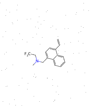 C=Cc1ccc(CN(C)CC(F)(F)F)c2ccccc12